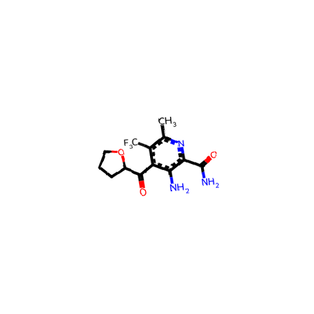 Cc1nc(C(N)=O)c(N)c(C(=O)C2CCCO2)c1C(F)(F)F